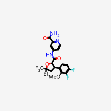 CCC1(C(F)(F)F)CC(c2ccc(F)c(F)c2OC)C(C(=O)Nc2ccnc(C(N)=O)c2)O1